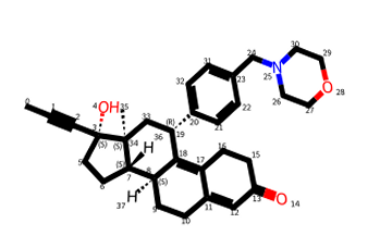 CC#C[C@]1(O)CC[C@H]2[C@@H]3CCC4=CC(=O)CCC4=C3[C@@H](c3ccc(CN4CCOCC4)cc3)C[C@@]21C